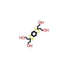 OCCC1(CCO)Sc2cc3c(cc2S1)SC(CCO)(CCO)S3